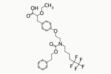 CCOC(Cc1ccc(OCCN(CCCCC(F)(F)C(F)(F)F)C(=O)OCCc2ccccc2)cc1)C(=O)O